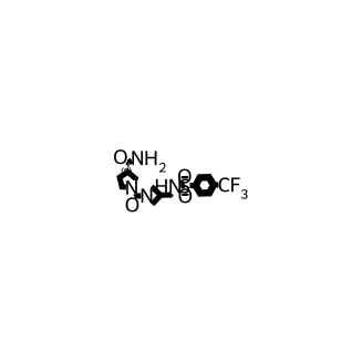 NC(=O)[C@H]1CCN(C(=O)N2CC(CNS(=O)(=O)c3ccc(C(F)(F)F)cc3)C2)C1